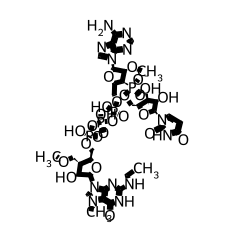 CCNc1nc2c(c(=O)[nH]1)[n+](C)cn2C1O[C@H](COP(=O)(O)OP(=O)(O)OP(=O)(O)OCC2O[C@@H](n3cnc4c(N)ncnc43)[C@H](OC)[C@@H]2P(=O)([O-])OC[C@H]2O[C@@H](n3ccc(=O)[nH]c3=O)[C@H](O)[C@@H]2O)[C@@H](COC)[C@H]1O